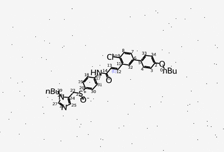 CCCCOc1ccc(-c2ccc(Cl)c(/C=C/C(=O)Nc3ccc([S+]([O-])Cc4cncn4CCCC)cc3)c2)cc1